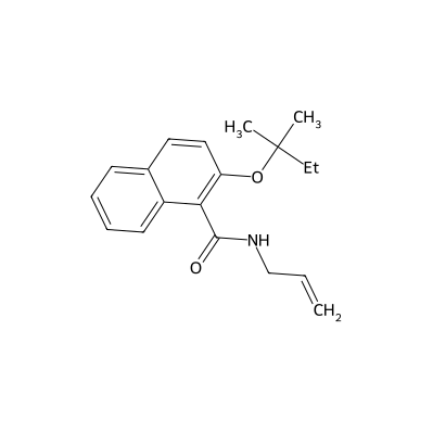 C=CCNC(=O)c1c(OC(C)(C)CC)ccc2ccccc12